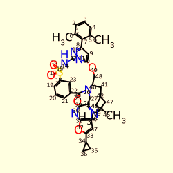 Cc1cccc(C)c1-c1cc2nc(n1)NS(=O)(=O)c1cccc(c1)C(=O)N(Cc1cnc3oc(C4CC4)cc3n1)C(CC1CC(C)(C)C1)CO2